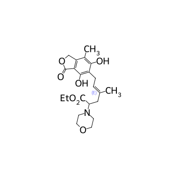 CCOC(=O)C(C/C(C)=C/Cc1c(O)c(C)c2c(c1O)C(=O)OC2)N1CCOCC1